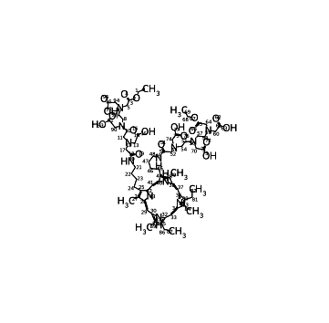 CCOC(=O)CN(CCN(CCN(CC(=O)O)CC(=O)NCCCCC1=C(C)c2cc3[nH]c(cc4nc(cc5[nH]c(cc1n2)c(CCCCNC(=O)CN(CCN(CCN(CC(=O)O)CC(=O)OCC)CC(=O)O)CC(=O)O)c5C)C(CC)=C4C)c(CC)c3C)CC(=O)O)CC(=O)O